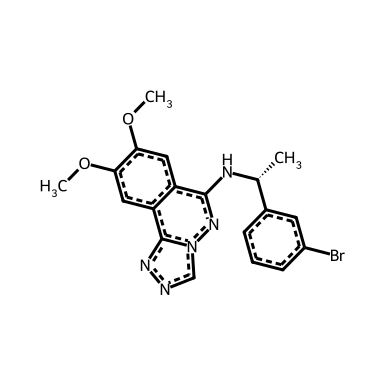 COc1cc2c(N[C@H](C)c3cccc(Br)c3)nn3cnnc3c2cc1OC